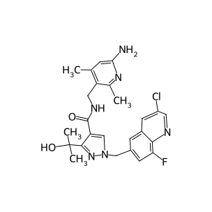 Cc1cc(N)nc(C)c1CNC(=O)c1cn(Cc2cc(F)c3ncc(Cl)cc3c2)nc1C(C)(C)O